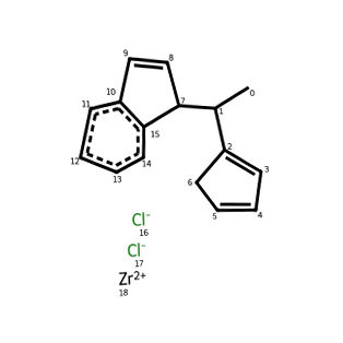 CC(C1=CC=CC1)C1C=Cc2ccccc21.[Cl-].[Cl-].[Zr+2]